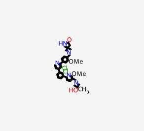 COc1cc(-c2nccc(-c3cccc(-c4ccc(CN5CC(C)(O)C5)c(OC)n4)c3Cl)c2Cl)ccc1CN1CC2(CNC(=O)C2)C1